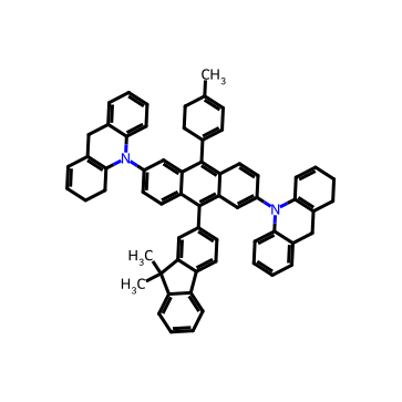 CC1=CC=C(c2c3cc(N4C5=C(C=CCC5)Cc5ccccc54)ccc3c(-c3ccc4c(c3)C(C)(C)c3ccccc3-4)c3cc(N4C5=C(CCC=C5)Cc5ccccc54)ccc23)CC1